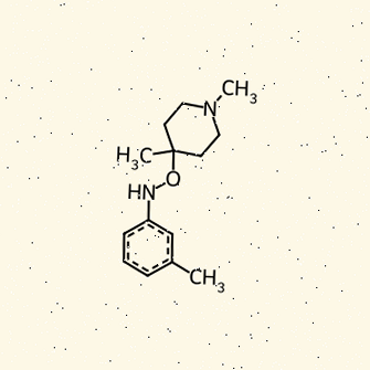 Cc1cccc(NOC2(C)CCN(C)CC2)c1